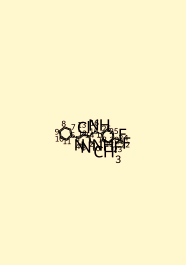 CNc1nnc(-c2ccccc2)c(Cl)c1C(=N)c1ccc(C(F)(F)F)cc1